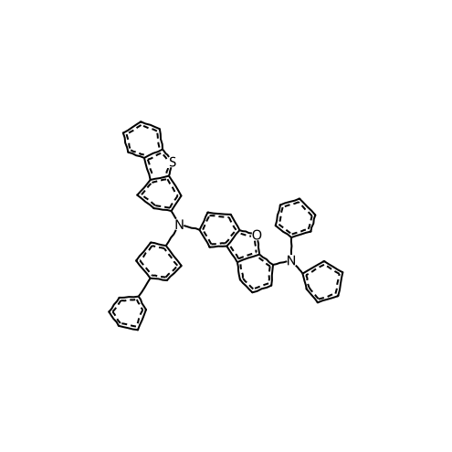 c1ccc(-c2ccc(N(c3ccc4c(c3)sc3ccccc34)c3ccc4oc5c(N(c6ccccc6)c6ccccc6)cccc5c4c3)cc2)cc1